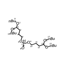 CCCCOC(CCCO[PH](=O)OCCCC(OCCCC)OCCCC)OCCCC